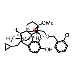 CO[C@]12CC[C@@]3(C[C@@H]1COCc1ccccc1Cl)[C@H]1Cc4ccc(O)c5c4[C@@]3(CC[N@+]1(C)CC1CC1)[C@H]2O5